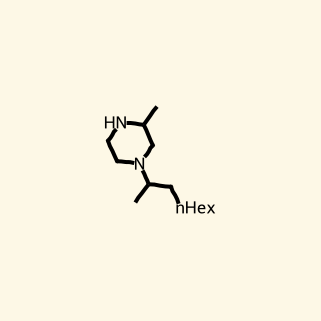 CCCCCCCC(C)N1CCNC(C)C1